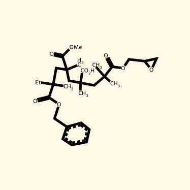 CCC(C)(CC(C)(CC(C)(CC(C)(C)C(=O)OCC1CO1)C(=O)O)C(=O)OC)C(=O)OCc1ccccc1